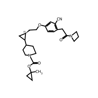 CC1(OC(=O)N2CCC(C3C[C@H]3CCOc3ccc(CC(=O)N4CCC4)c(C#N)c3)CC2)CC1